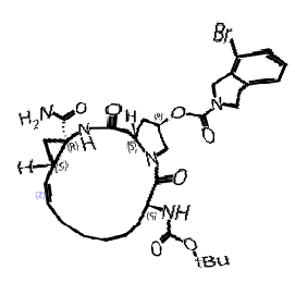 CC(C)(C)OC(=O)N[C@H]1CCCCC/C=C\[C@@H]2C[C@@]2(C(N)=O)NC(=O)[C@@H]2C[C@@H](OC(=O)N3Cc4cccc(Br)c4C3)CN2C1=O